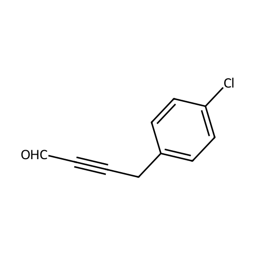 O=CC#CCc1ccc(Cl)cc1